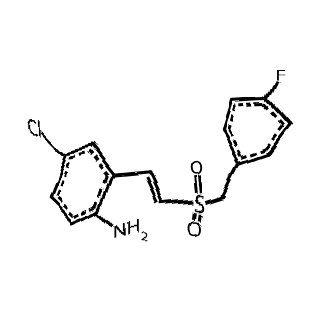 Nc1ccc(Cl)cc1/C=C/S(=O)(=O)Cc1ccc(F)cc1